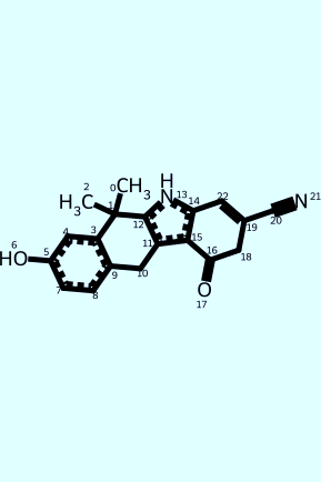 CC1(C)c2cc(O)ccc2Cc2c1[nH]c1c2C(=O)CC(C#N)=C1